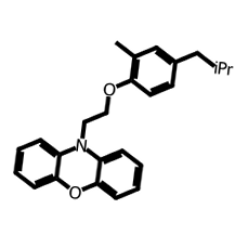 Cc1cc(CC(C)C)ccc1OCCN1c2ccccc2Oc2ccccc21